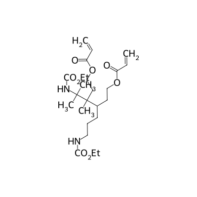 C=CC(=O)OCCC(CCCNC(=O)OCC)C(C)(CCOC(=O)C=C)C(C)(C)NC(=O)OCC